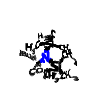 CC[C@H](C)[C@@H](C(=O)O)N([Si](C)(C)C)[Si](C)(C)C